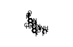 C[C@@H](Oc1cc(F)ccc1Nc1ncnc2cc(N=S(C)(C)=O)cc(Cl)c12)C(=O)NC(CF)CF